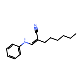 CCCCCCC(C#N)=CNc1ccccc1